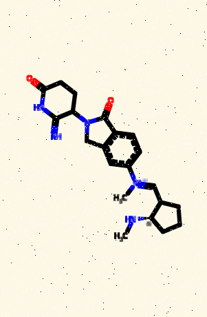 CN[C@H]1CCCC1/C=[N+](\C)c1ccc2c(c1)CN(C1CCC(=O)NC1=N)C2=O